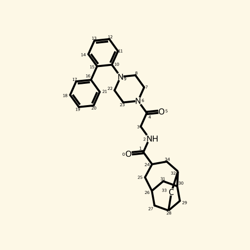 O=C(NCC(=O)N1CCN(c2ccccc2-c2ccccc2)CC1)C1CC2CC3CC(C2)C(C3)C1